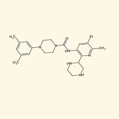 CCc1cc(NC(=O)N2CCN(c3cc(C)cc(C)c3)CC2)c(C2CNCCN2)nc1C